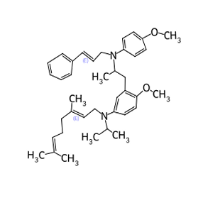 COc1ccc(N(C/C=C/c2ccccc2)C(C)Cc2cc(N(C/C=C(\C)CCC=C(C)C)C(C)C)ccc2OC)cc1